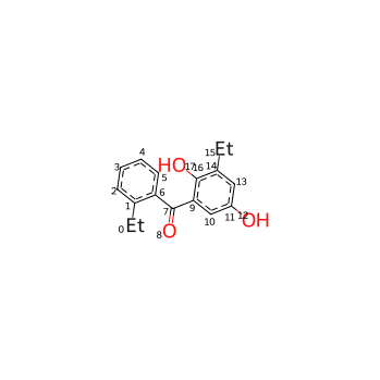 CCc1ccccc1C(=O)c1cc(O)cc(CC)c1O